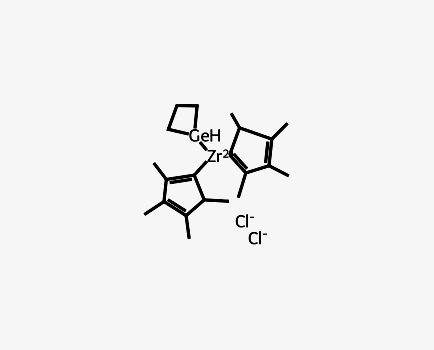 CC1=C(C)C(C)[C]([Zr+2]([C]2=C(C)C(C)=C(C)C2C)[GeH]2[CH2]C[CH2]2)=C1C.[Cl-].[Cl-]